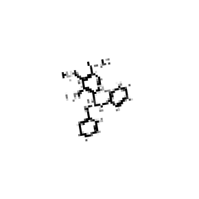 CCOC(=O)c1cnc(N(Cc2ccccc2)Cc2ccccc2)c(N)c1N